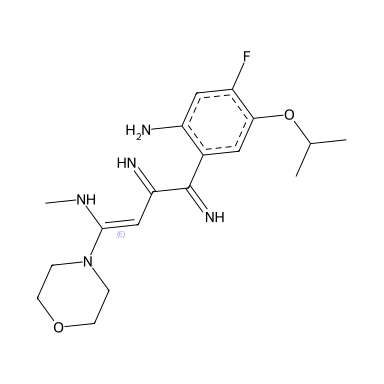 CN/C(=C\C(=N)C(=N)c1cc(OC(C)C)c(F)cc1N)N1CCOCC1